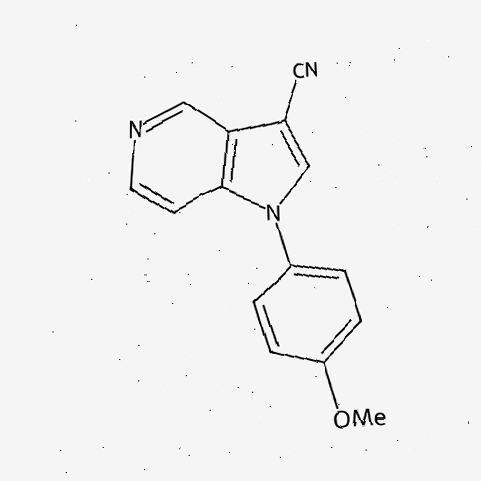 COc1ccc(-n2cc(C#N)c3cnccc32)cc1